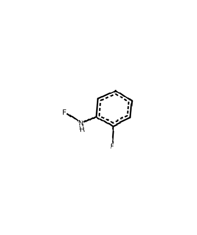 FNc1ccccc1F